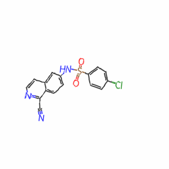 N#Cc1nccc2cc(NS(=O)(=O)c3ccc(Cl)cc3)ccc12